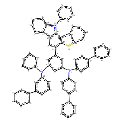 c1ccc(-c2ccc(N(c3ccc(-c4ccccc4)cc3)c3cc(-c4cc5c6ccccc6n(-c6ccccc6)c5c5c4sc4ccccc45)cc(N(c4ccccc4)c4cccc(-c5ccccc5)c4)c3)cc2)cc1